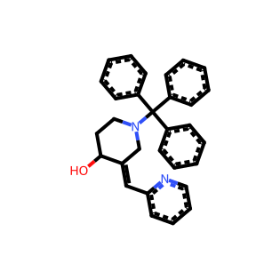 OC1CCN(C(c2ccccc2)(c2ccccc2)c2ccccc2)C/C1=C\c1ccccn1